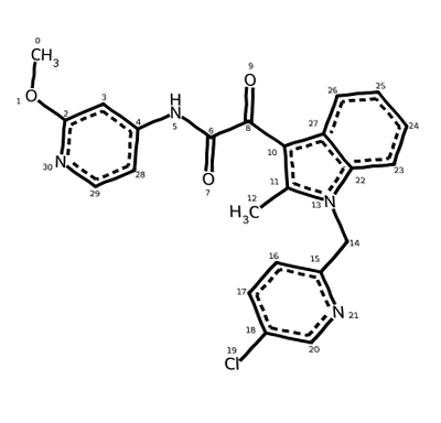 COc1cc(NC(=O)C(=O)c2c(C)n(Cc3ccc(Cl)cn3)c3ccccc23)ccn1